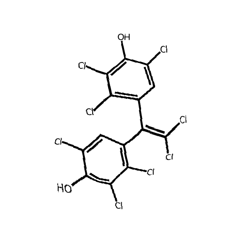 Oc1c(Cl)cc(C(=C(Cl)Cl)c2cc(Cl)c(O)c(Cl)c2Cl)c(Cl)c1Cl